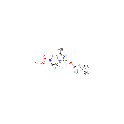 CC(C)(C)OC(=O)N1Cc2c(C#N)nn(COCC[Si](C)(C)C)c2C(F)(F)C1